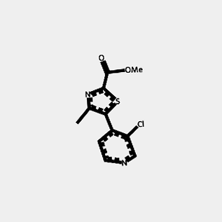 COC(=O)c1nc(C)c(-c2ccncc2Cl)s1